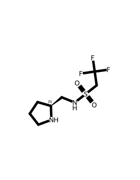 O=S(=O)(CC(F)(F)F)NC[C@@H]1CCCN1